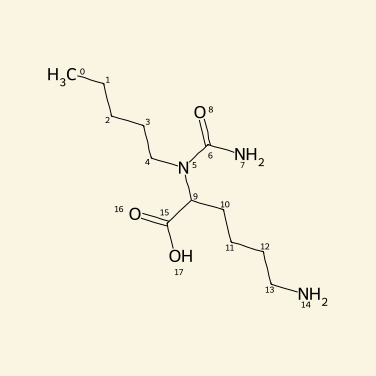 CCCCCN(C(N)=O)C(CCCCN)C(=O)O